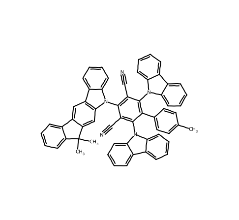 Cc1ccc(-c2c(-n3c4ccccc4c4ccccc43)c(C#N)c(-n3c4ccccc4c4cc5c(cc43)C(C)(C)c3ccccc3-5)c(C#N)c2-n2c3ccccc3c3ccccc32)cc1